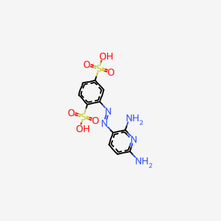 Nc1ccc(/N=N/c2cc(S(=O)(=O)O)ccc2S(=O)(=O)O)c(N)n1